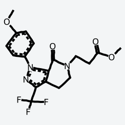 COC(=O)CCN1CCc2c(C(F)(F)F)nn(-c3ccc(OC)cc3)c2C1=O